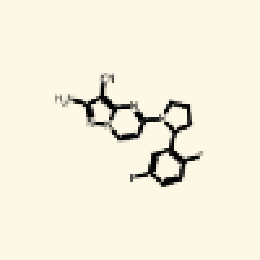 N#Cc1c(N)nn2ccc(N3CCCC3c3cc(F)ccc3F)nc12